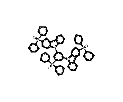 O=P(c1ccccc1)(c1ccccc1)c1cc(-n2c3ccccc3c3cc(P(=O)(c4ccccc4)c4ccccc4)ccc32)cc(-n2c3ccccc3c3cc(P(=O)(c4ccccc4)c4ccccc4)ccc32)c1